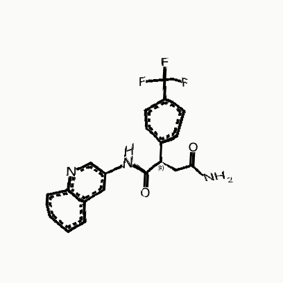 NC(=O)C[C@@H](C(=O)Nc1cnc2ccccc2c1)c1ccc(C(F)(F)F)cc1